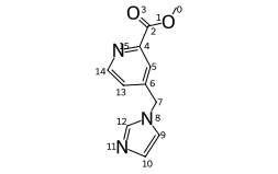 COC(=O)c1cc(Cn2ccnc2)ccn1